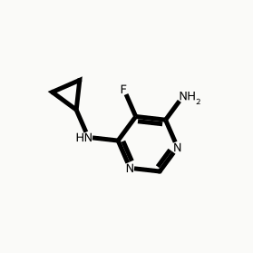 Nc1ncnc(NC2CC2)c1F